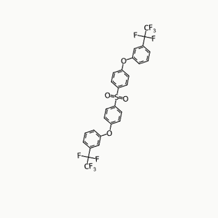 O=S(=O)(c1ccc(Oc2cccc(C(F)(F)C(F)(F)F)c2)cc1)c1ccc(Oc2cccc(C(F)(F)C(F)(F)F)c2)cc1